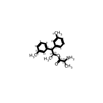 Cc1cccc(C(c2cccc(C)c2)[C@H](C)OC(=O)[C@H](C)N)c1